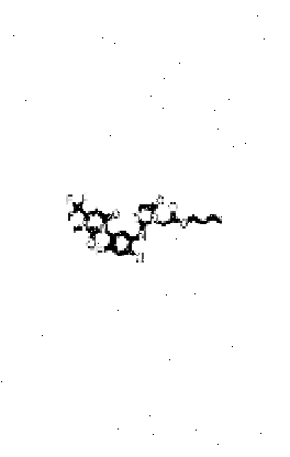 CCCCOC(=O)CN1C(=O)CS/C1=N\c1cc(-n2c(=O)cc(C(F)(F)F)n(C)c2=O)c(F)cc1Cl